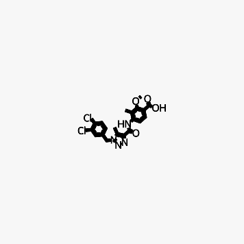 COc1c(C(=O)O)ccc(NC(=O)c2nnn(Cc3ccc(Cl)c(Cl)c3)c2C)c1C